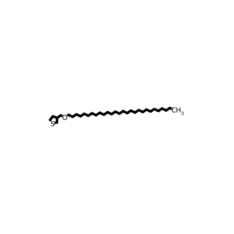 CCCCCCCCCCCCCCCCCCCCCCCCCCCCOCC1CCSC1